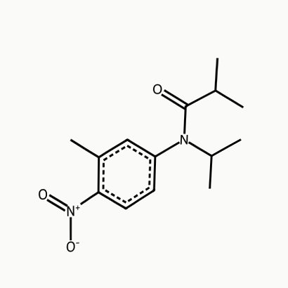 Cc1cc(N(C(=O)C(C)C)C(C)C)ccc1[N+](=O)[O-]